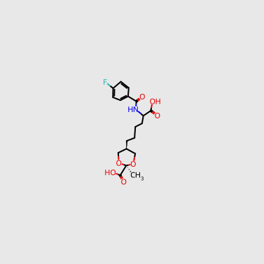 C[C@]1(C(=O)O)OC[C@@H](CCCCC(NC(=O)c2ccc(F)cc2)C(=O)O)CO1